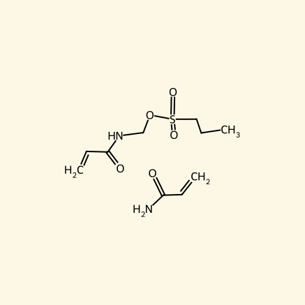 C=CC(=O)NCOS(=O)(=O)CCC.C=CC(N)=O